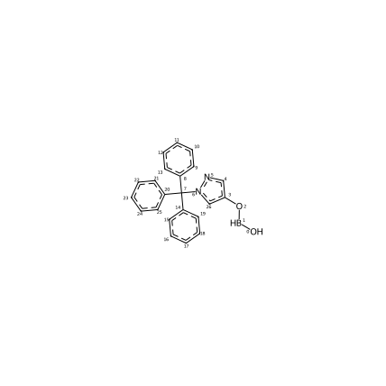 OBOc1cnn(C(c2ccccc2)(c2ccccc2)c2ccccc2)c1